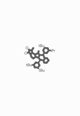 C=c1c(=O)c(=O)c2ccc3c4c(-c5cc(C(C)(C)C)cc(C(C)(C)C)c5)c5ccccc5c(-c5cc(C(C)C)cc(C(C)(C)C)c5)c4c(=C)c3c12